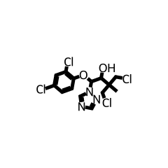 CC(CCl)(CCl)C(O)C(Oc1ccc(Cl)cc1Cl)n1cncn1